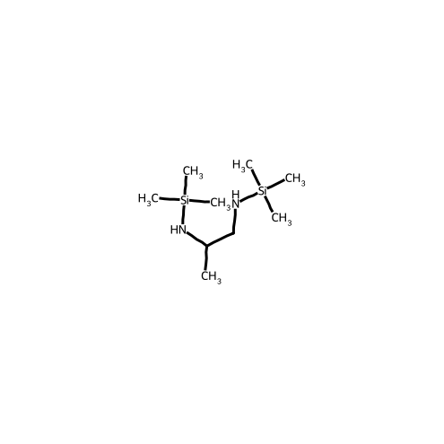 CC(CN[Si](C)(C)C)N[Si](C)(C)C